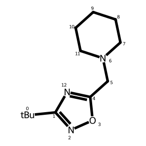 CC(C)(C)c1noc(CN2CCCCC2)n1